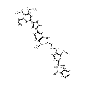 COc1cc(C2NC(=O)c3ccccc3N2)ccc1OCCCOc1cc(-c2cc(-c3cc(OC)c(OC)c(OC)c3)on2)ccc1OC